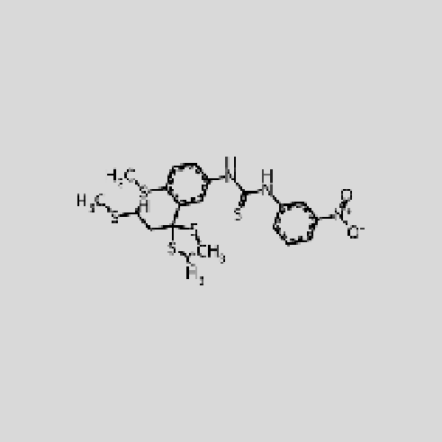 CSC1CC(SC)(SC)c2cc(NC(=S)Nc3cccc([N+](=O)[O-])c3)ccc2[SH]1C